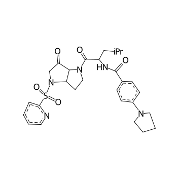 CC(C)CC(NC(=O)c1ccc(N2CCCC2)cc1)C(=O)N1CCC2C1C(=O)CN2S(=O)(=O)c1ccccn1